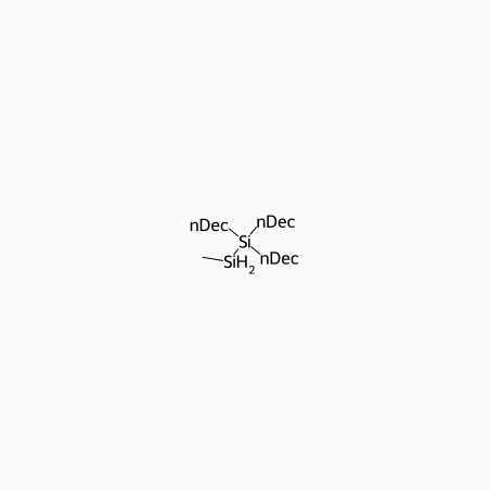 CCCCCCCCCC[Si](CCCCCCCCCC)(CCCCCCCCCC)[SiH2]C